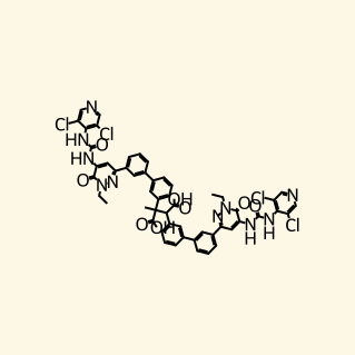 CCn1nc(-c2cccc(-c3cccc(C(C(=O)O)C(C)(C(=O)O)c4cccc(-c5cccc(-c6cc(NC(=O)Nc7c(Cl)cncc7Cl)c(=O)n(CC)n6)c5)c4)c3)c2)cc(NC(=O)Nc2c(Cl)cncc2Cl)c1=O